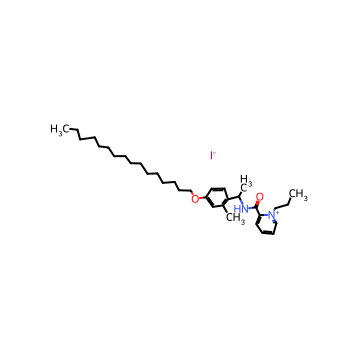 CCCCCCCCCCCCCCCCOc1ccc(C(C)NC(=O)c2cccc[n+]2CCC)c(C)c1.[I-]